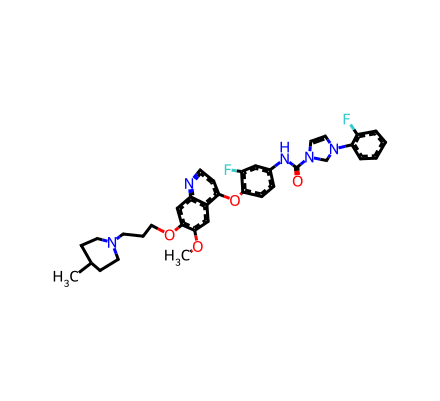 COc1cc2c(Oc3ccc(NC(=O)N4C=CN(c5ccccc5F)C4)cc3F)ccnc2cc1OCCCN1CCC(C)CC1